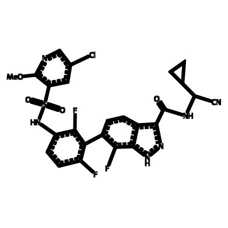 COc1ncc(Cl)cc1S(=O)(=O)Nc1ccc(F)c(-c2ccc3c(C(=O)NC(C#N)C4CC4)n[nH]c3c2F)c1F